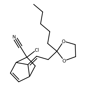 CCCCCC1(C/C=C2\C3C=CC2C(Cl)(C#N)C3)OCCO1